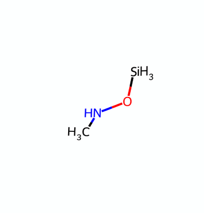 CNO[SiH3]